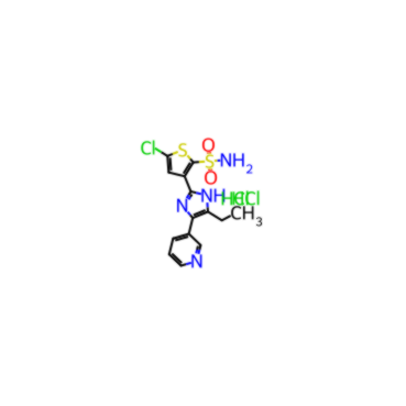 CCc1[nH]c(-c2cc(Cl)sc2S(N)(=O)=O)nc1-c1cccnc1.Cl.Cl